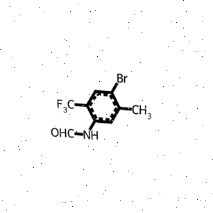 Cc1cc(NC=O)c(C(F)(F)F)cc1Br